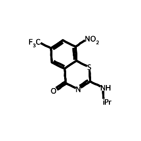 CC(C)Nc1nc(=O)c2cc(C(F)(F)F)cc([N+](=O)[O-])c2s1